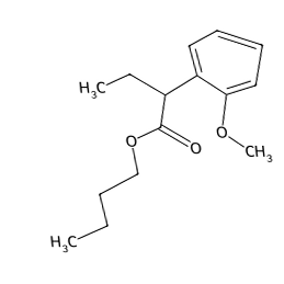 CCCCOC(=O)C(CC)c1ccccc1OC